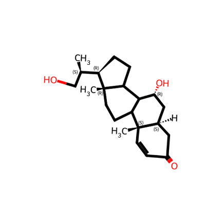 C[C@H](CO)[C@H]1CCC2C3C(CC[C@@]21C)[C@@]1(C)C=CC(=O)C[C@@H]1C[C@H]3O